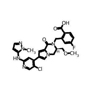 COC[C@H]1Cn2cc(-c3cc(Nc4ccnn4C)ncc3Cl)cc2C(=O)N1Cc1cc(F)ccc1C(=O)O